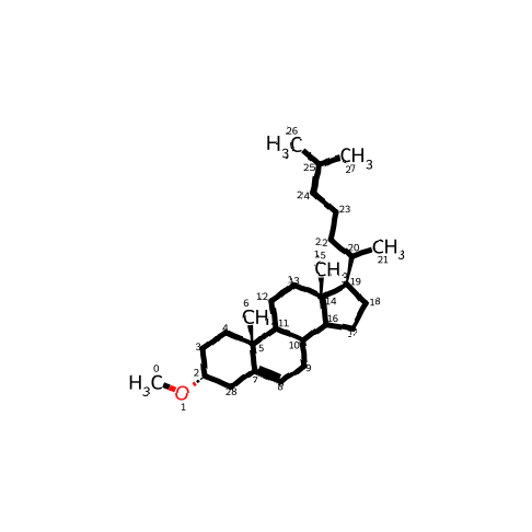 CO[C@@H]1CC[C@@]2(C)C(=CCC3C2CC[C@@]2(C)C3CC[C@@H]2C(C)CCCC(C)C)C1